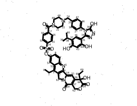 CCc1c2c(nc3ccc(OS(=O)(=O)c4ccc(C(=O)N5CCN(Cc6ccc(-n7c(O)nnc7-c7cc(C(C)C)c(O)cc7O)cc6)CC5)cc4)cc13)-c1cc3c(c(=O)n1C2)COC(=O)C3(O)CC